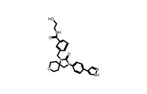 O=C(NCCO)c1cccc(CN2C(=O)N(c3ccc(-c4cn[nH]c4)cc3)CC23CCOCC3)c1